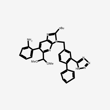 CCCCc1nc2cc(-c3ccccc3N)c(C(OC)OC)nc2n1Cc1ccc(-c2ccccc2)c(-c2nnn[nH]2)c1